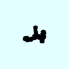 c1ccc(-c2ccc(N(c3ccc(-c4ccc5oc6ccccc6c5c4)cc3)c3ccc(-n4c5ccccc5c5ccc6c7ccccc7oc6c54)cc3)cc2)cc1